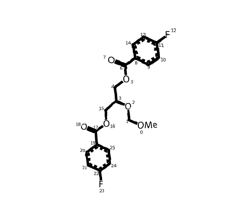 COCOC(COC(=O)c1ccc(F)cc1)COC(=O)c1ccc(F)cc1